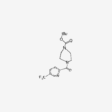 CC(C)(C)OC(=O)N1CCN(C(=O)c2ccc(C(F)(F)F)cn2)CC1